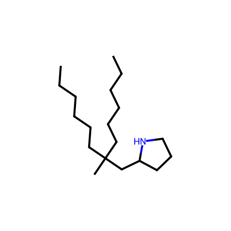 CCCCCCC(C)(CCCCCC)CC1CCCN1